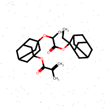 C=C(C)C(=O)OC12CC3CC(C1)CC(OC(C)C(=O)OC1(CC)C4CC5CC(C4)CC1C5)(C3)C2